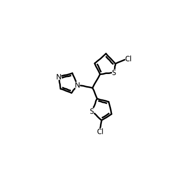 Clc1ccc(C(c2ccc(Cl)s2)n2ccnc2)s1